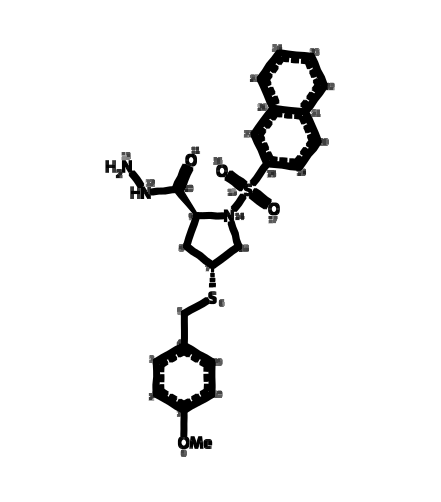 COc1ccc(CS[C@@H]2C[C@@H](C(=O)NN)N(S(=O)(=O)c3ccc4ccccc4c3)C2)cc1